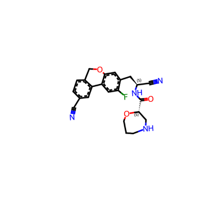 N#Cc1ccc2c(c1)-c1cc(F)c(C[C@@H](C#N)NC(=O)[C@@H]3CNCCCO3)cc1OC2